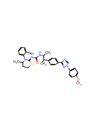 CCc1ccccc1N1/C(=N/C(=O)NC(C)C(C)c2ccc(-c3ncn(-c4ccc(OC(F)(F)F)cc4)n3)cc2)SCCC1C